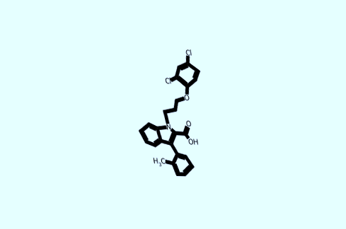 Cc1ccccc1-c1c(C(=O)O)n(CCCOc2ccc(Cl)cc2Cl)c2ccccc12